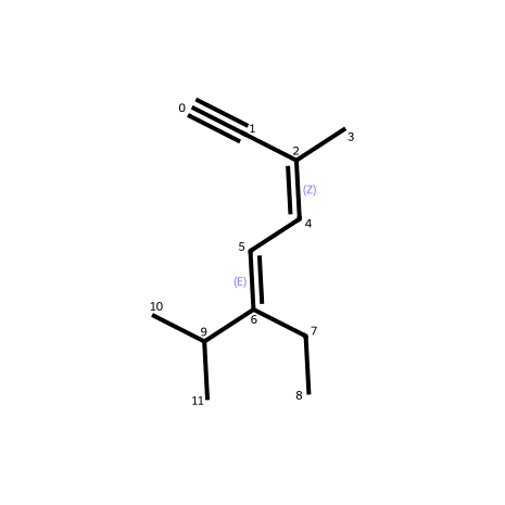 C#C/C(C)=C\C=C(/CC)C(C)C